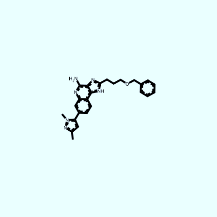 Cc1cc(-c2ccc3c(c2)nc(N)c2nc(CCCOCc4ccccc4)[nH]c23)n(C)n1